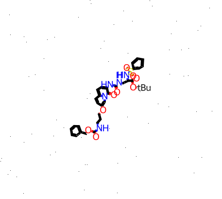 CC(C)(C)OC(=O)C(CNC(=O)Nc1ccc2ccc(OCCCNC(=O)OCc3ccccc3)cn2c1=O)NS(=O)(=O)c1ccccc1